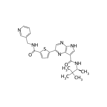 C[C@H](NC(=O)c1c[nH]c2ncc(-c3ccc(C(=O)NCc4cccnc4)s3)nc12)C(C)(C)C